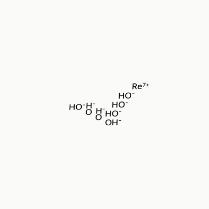 [OH-].[OH-].[OH-].[OH-].[OH-].[OH-].[OH-].[Re+7]